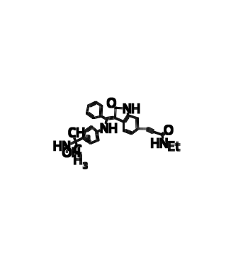 CCNC(=O)C#Cc1ccc2c(c1)NC(=O)C2=C(Nc1ccc(C(C)(C)NO)cc1)c1ccccc1